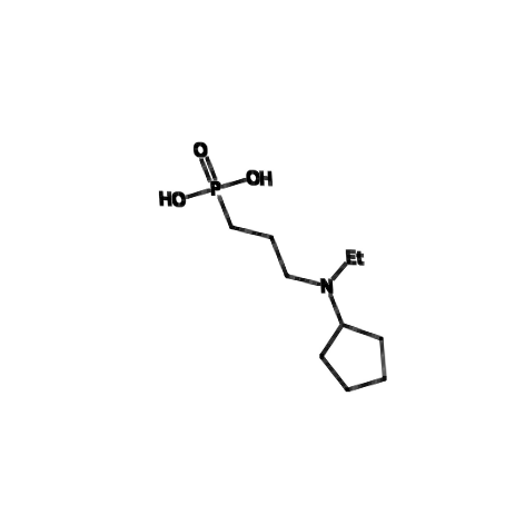 [CH2]CN(CCCP(=O)(O)O)C1CCCC1